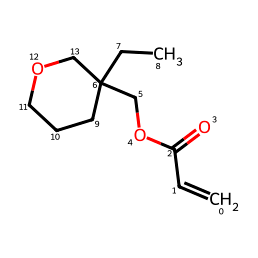 C=CC(=O)OCC1(CC)CCCOC1